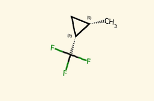 C[C@H]1C[C@H]1C(F)(F)F